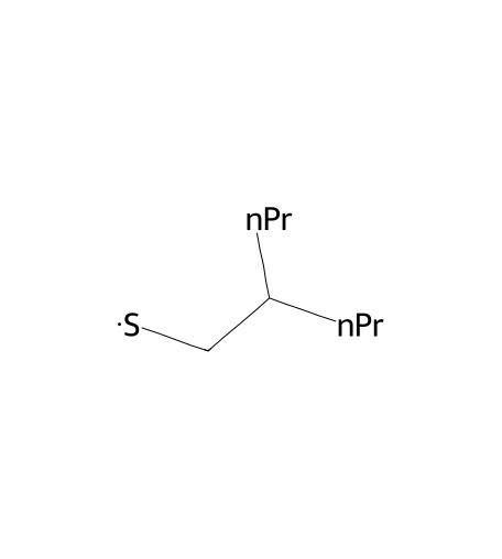 CCCC(C[S])CCC